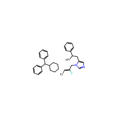 CCC=C(F)Cn1cncc1CC(CCC)c1ccccc1.c1ccc(B(c2ccccc2)C2CCCCC2)cc1